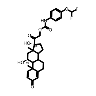 CC12C=CC(=O)C=C1CCC1C2[C@@H](O)CC2(C)C1CC[C@]2(O)C(=O)COC(=O)Nc1ccc(OC(F)F)cc1